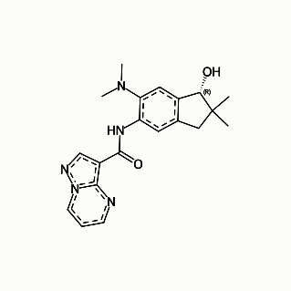 CN(C)c1cc2c(cc1NC(=O)c1cnn3cccnc13)CC(C)(C)[C@H]2O